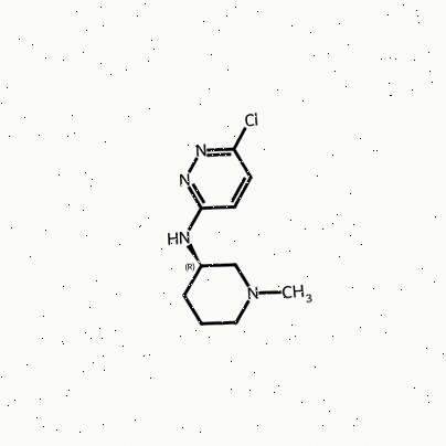 CN1CCC[C@@H](Nc2ccc(Cl)nn2)C1